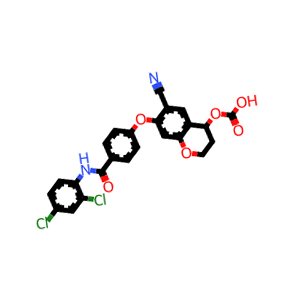 N#Cc1cc2c(cc1Oc1ccc(C(=O)Nc3ccc(Cl)cc3Cl)cc1)OCCC2OC(=O)O